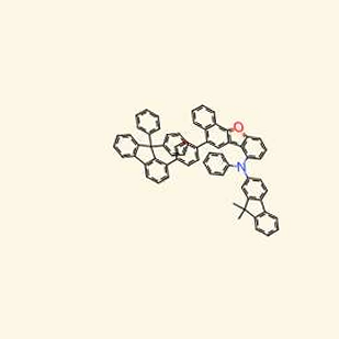 CC1(C)c2ccccc2-c2ccc(N(c3ccccc3)c3cccc4oc5c6ccccc6c(-c6ccc(-c7cccc8c7C(c7ccccc7)(c7ccccc7)c7ccccc7-8)cc6)cc5c34)cc21